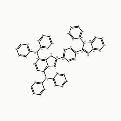 c1ccc(N(c2ccccc2)c2ccc(N(c3ccccc3)c3ccccc3)c3sc(-c4ccc(-c5nc6ccccc6n5-c5ccccc5)cc4)nc23)cc1